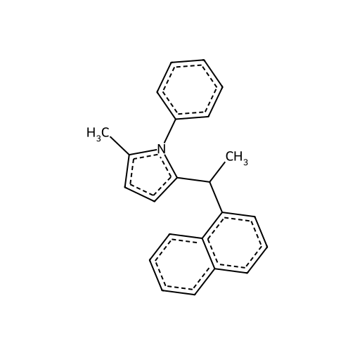 Cc1ccc(C(C)c2cccc3ccccc23)n1-c1ccccc1